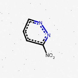 O=[N+]([O-])c1cccnn1